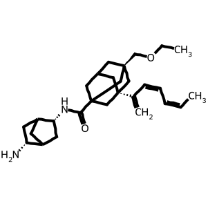 C=C(/C=C\C=C/C)[C@]12CC3CC(C(=O)N[C@@H]4CC5CC4C[C@H]5N)(C[C@](COCC)(C3)C1)C2